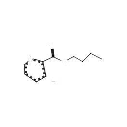 CCCCOC(=O)c1ccccn1.Cl